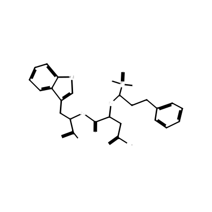 O=C(O)CC(NC(CCc1ccccc1)P(=O)(O)O)C(=O)NC(Cc1c[nH]c2ccccc12)C(=O)O